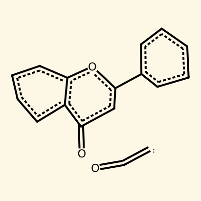 O=c1cc(-c2ccccc2)oc2ccccc12.[C]=C=O